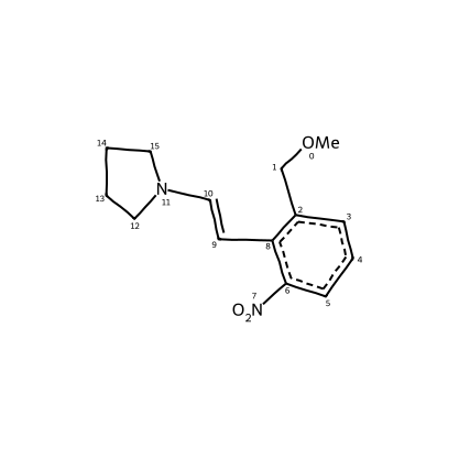 COCc1cccc([N+](=O)[O-])c1C=CN1CCCC1